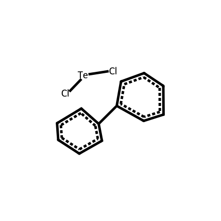 Cl[Te]Cl.c1ccc(-c2ccccc2)cc1